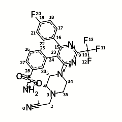 N#CCN1CCN(c2nc(C(F)(F)F)nc(-c3ccc(F)cc3)c2-c2cccc(S(N)(=O)=O)c2)CC1